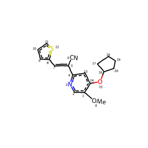 COc1cnc(C(C#N)=Cc2cccs2)cc1OC1CCCC1